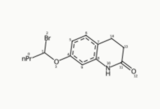 CCCC(Br)Oc1ccc2c(c1)NC(=O)CC2